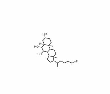 CCCSCCCC(C)C1CCC2C3C(CC[C@]12C)[C@@]1(C)CC[C@@H](O)C[C@H]1[C@H](O)[C@@H]3O